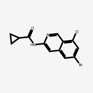 O=C(Nc1cc2cc(Br)cc(Cl)c2cn1)C1CC1